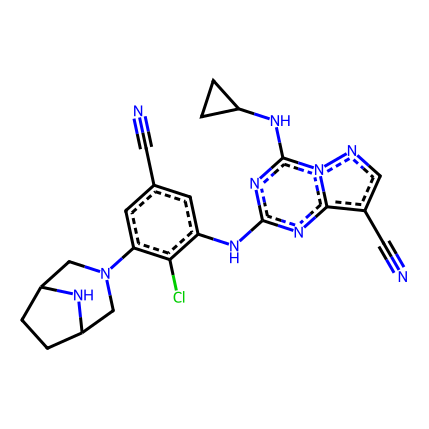 N#Cc1cc(Nc2nc(NC3CC3)n3ncc(C#N)c3n2)c(Cl)c(N2CC3CCC(C2)N3)c1